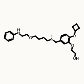 OCCOc1cc(CNCCCCOCCNc2ccccc2)ccc1OC1CCC1